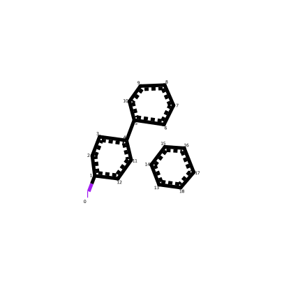 Ic1ccc(-c2ccccc2)cc1.c1ccccc1